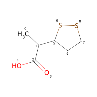 CC(C(=O)O)C1CCSS1